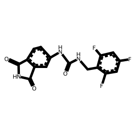 O=C(NCc1c(F)cc(F)cc1F)Nc1ccc2c(c1)C(=O)NC2=O